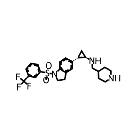 O=S(=O)(c1cccc(C(F)(F)F)c1)N1CCc2cc([C@@H]3C[C@H]3NCC3CCNCC3)ccc21